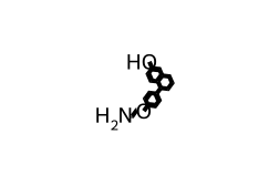 NCCOc1ccc(C2CCCc3cc(O)ccc32)cc1